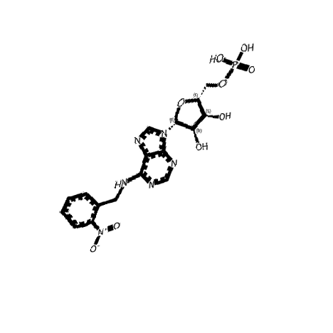 O=[N+]([O-])c1ccccc1CNc1ncnc2c1ncn2[C@@H]1O[C@H](COP(=O)(O)O)[C@@H](O)[C@H]1O